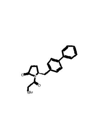 CC(C)(C)CC(=O)N1C(=O)CC[C@H]1Cc1ccc(-c2ccccc2)cc1